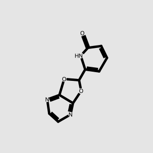 O=c1cccc(C2Oc3nccnc3O2)[nH]1